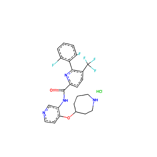 Cl.O=C(Nc1cnccc1OC1CCCNCC1)c1ccc(C(F)(F)F)c(-c2c(F)cccc2F)n1